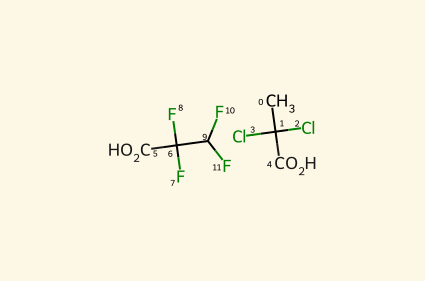 CC(Cl)(Cl)C(=O)O.O=C(O)C(F)(F)C(F)F